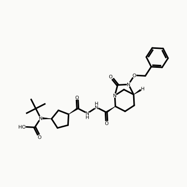 CC(C)(C)N(C(=O)O)[C@@H]1CC[C@H](C(=O)NNC(=O)[C@@H]2CC[C@@H]3CN2C(=O)N3OCc2ccccc2)C1